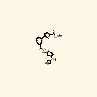 COC(=O)c1ccc(-c2cccc(C(C)NC(=O)c3cc(NC4CNC4)ccc3C)c2)s1